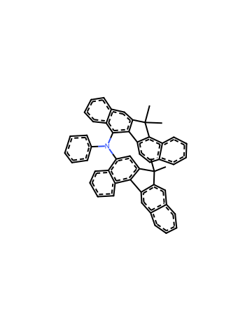 CC1(C)c2cc3ccccc3cc2-c2c1cc(N(c1ccccc1)c1c3c(cc4ccccc14)C(C)(C)c1c-3ccc3ccccc13)c1ccccc21